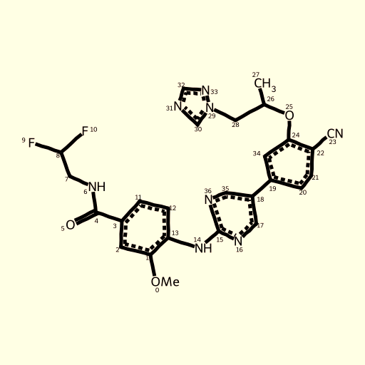 COc1cc(C(=O)NCC(F)F)ccc1Nc1ncc(-c2ccc(C#N)c(OC(C)Cn3cncn3)c2)cn1